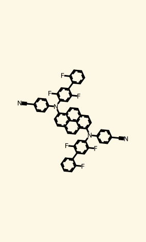 N#Cc1ccc(N(c2cc(F)c(-c3ccccc3F)cc2F)c2ccc3ccc4c(N(c5ccc(C#N)cc5)c5cc(F)c(-c6ccccc6F)cc5F)ccc5ccc2c3c54)cc1